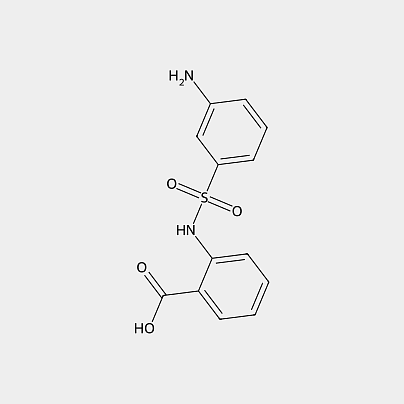 Nc1cccc(S(=O)(=O)Nc2ccccc2C(=O)O)c1